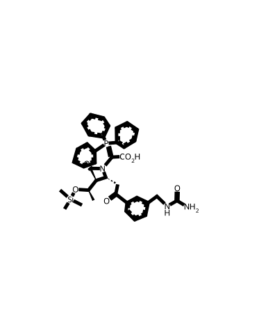 C[C@@H](O[Si](C)(C)C)[C@H]1C(=O)N(C(C(=O)O)=P(c2ccccc2)(c2ccccc2)c2ccccc2)[C@@H]1CC(=O)c1cccc(CNC(N)=O)c1